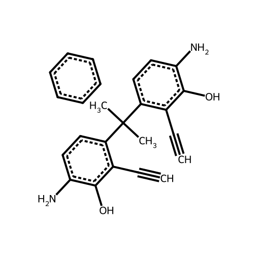 C#Cc1c(C(C)(C)c2ccc(N)c(O)c2C#C)ccc(N)c1O.c1ccccc1